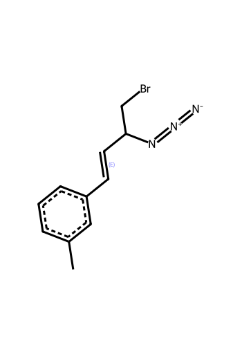 Cc1cccc(/C=C/C(CBr)N=[N+]=[N-])c1